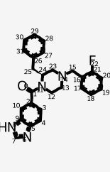 O=C(c1ccc2nc[nH]c2c1)N1CCN(Cc2ccccc2F)C[C@@H]1Cc1ccccc1